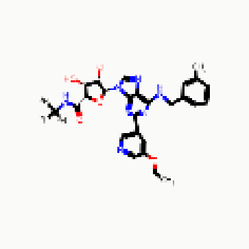 [2H]C([2H])([2H])NC(=O)[C@H]1O[C@H](n2cnc3c(NCc4cccc(C)c4)nc(-c4cncc(OCC)c4)nc32)[C@H](O)[C@@H]1O